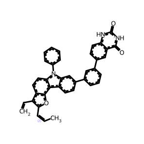 C=Cc1c(/C=C\C)oc2c1ccc1c2c2ccc(-c3cccc(-c4ccc5[nH]c(=O)[nH]c(=O)c5c4)c3)cc2n1-c1ccccc1